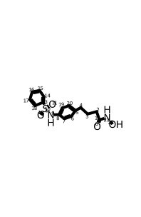 O=C(CCCc1ccc(NS(=O)(=O)c2ccccc2)cc1)NO